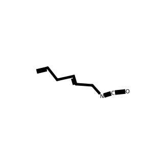 C=CCC=CCN=C=O